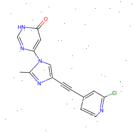 Cc1nc(C#Cc2ccnc(Cl)c2)cn1-c1cc(=O)[nH]cn1